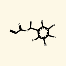 C=CC(=O)OC(C)c1c(Br)c(Br)c(Br)c(Br)c1Br